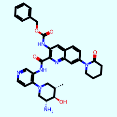 C[C@H]1CN(c2ccncc2NC(=O)c2nc3cc(N4CCCCC4=O)ccc3cc2NC(=O)OCc2ccccc2)C[C@@H](N)[C@@H]1O